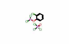 Clc1ccccc1OP(Cl)Cl.O=P(Cl)(Cl)Cl